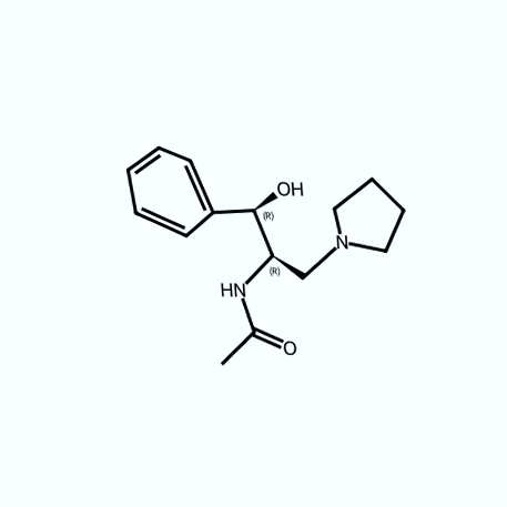 CC(=O)N[C@H](CN1CCCC1)[C@H](O)c1ccccc1